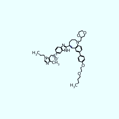 CCCCOCCOc1ccc(-c2ccc3c(c2)/C=C(/c2nc4ccc([S@+]([O-])Cc5c(C)ncn5CCC)cc4[nH]2)CCCN3CC2COCCO2)cc1